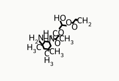 C=CC(=O)OCC(CO)COC(C)(C)C(=O)NC1CC(C)(C)CC(C)(CN)C1